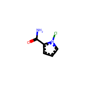 NC(=O)c1cccn1Cl